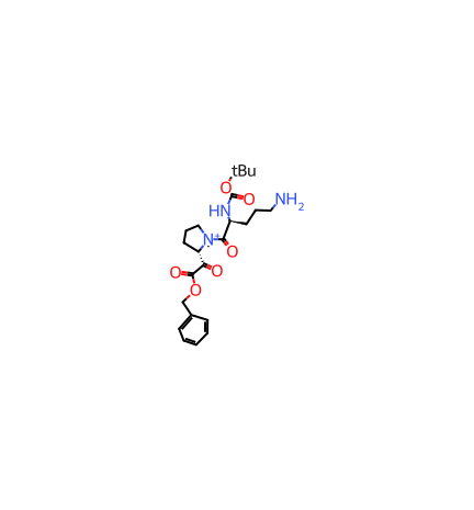 CC(C)(C)OC(=O)N[C@@H](CCCN)C(=O)[N+]1CCC[C@H]1C(=O)C(=O)OCc1ccccc1